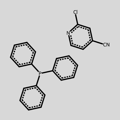 N#Cc1ccnc(Cl)c1.c1ccc(P(c2ccccc2)c2ccccc2)cc1